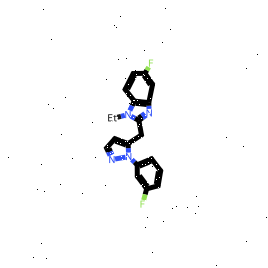 CCn1c(Cc2ccnn2-c2cccc(F)c2)nc2cc(F)ccc21